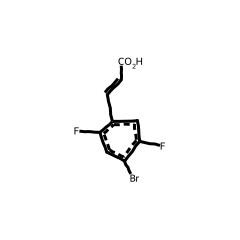 O=C(O)/C=C/c1cc(F)c(Br)cc1F